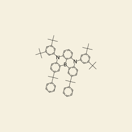 CC(C)(C)c1cc(N2c3ccc(C(C)(C)c4ccccc4)cc3B3c4cc(C(C)(C)c5ccccc5)ccc4N(c4cc(C(C)(C)C)cc(C(C)(C)C)c4)c4cccc2c43)cc(C(C)(C)C)c1